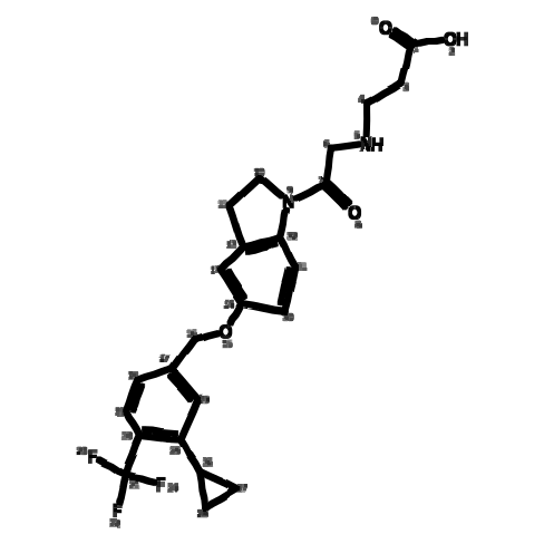 O=C(O)CCNCC(=O)N1CCc2cc(OCc3ccc(C(F)(F)F)c(C4CC4)c3)ccc21